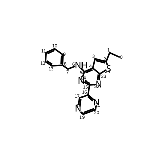 CCc1cc2c(NCc3ccccc3)nc(-c3cnccn3)nc2s1